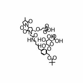 CC1CC(=O)N([C@H]2C[C@@H](COCCS(=O)(=O)O)N(CC(=O)NCCCCc3ccc(COC(=O)C(C)(C)C)c(O[C@@H]4O[C@H](C(=O)O)[C@@H](O)[C@H](O)[C@H]4O)c3)C2=O)C1=O